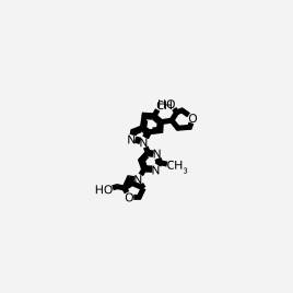 Cc1nc(N2CC3(CO)CC2CO3)cc(-n2ncc3cc(C)c(C4CCOCC4O)cc32)n1